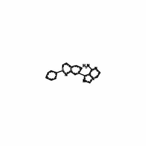 Nc1nccn2cnc(-c3ccc4ccc(-c5ccccc5)nc4c3)c12